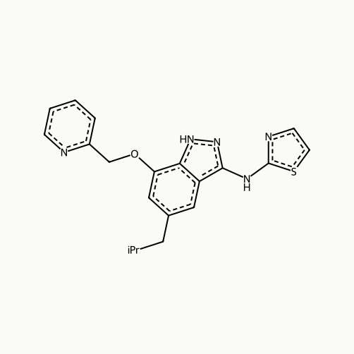 CC(C)Cc1cc(OCc2ccccn2)c2[nH]nc(Nc3nccs3)c2c1